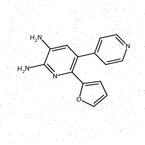 Nc1cc(-c2ccncc2)c(-c2ccco2)nc1N